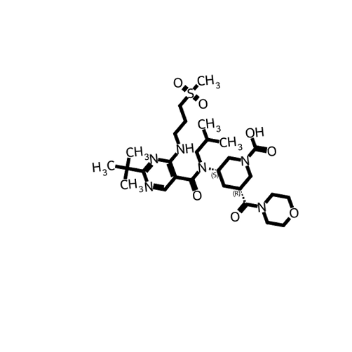 CC(C)CN(C(=O)c1cnc(C(C)(C)C)nc1NCCCS(C)(=O)=O)[C@H]1C[C@@H](C(=O)N2CCOCC2)CN(C(=O)O)C1